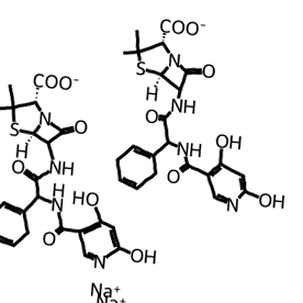 CC1(C)S[C@@H]2C(NC(=O)C(NC(=O)c3cnc(O)cc3O)C3=CCC=CC3)C(=O)N2[C@H]1C(=O)[O-].CC1(C)S[C@@H]2C(NC(=O)C(NC(=O)c3cnc(O)cc3O)C3=CCC=CC3)C(=O)N2[C@H]1C(=O)[O-].[Na+].[Na+]